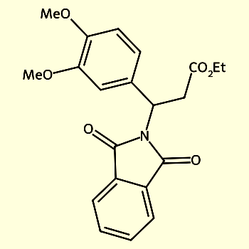 CCOC(=O)CC(c1ccc(OC)c(OC)c1)N1C(=O)c2ccccc2C1=O